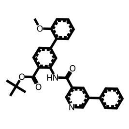 COc1ccccc1-c1ccc(C(=O)OC(C)(C)C)c(NC(=O)c2cncc(-c3ccccc3)c2)c1